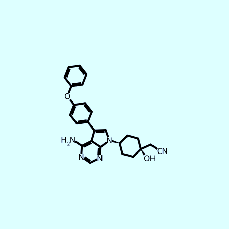 N#CC[C@]1(O)CC[C@@H](n2cc(-c3ccc(Oc4ccccc4)cc3)c3c(N)ncnc32)CC1